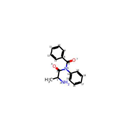 CC(N)C(=O)N(C(=O)c1ccccc1)c1ccccc1